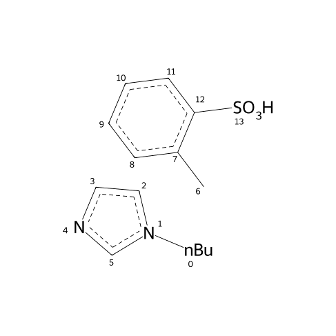 CCCCn1ccnc1.Cc1ccccc1S(=O)(=O)O